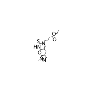 CCOC(=O)CCCn1cc(Cc2cnn(C)c2)c(=O)[nH]c1=S